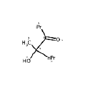 CCCC(C)(O)C(=O)C(C)C